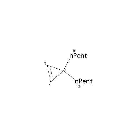 CCCCCC1(CCCCC)C=C1